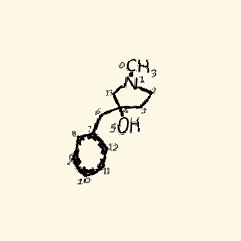 CN1CCC(O)(Cc2ccccc2)C1